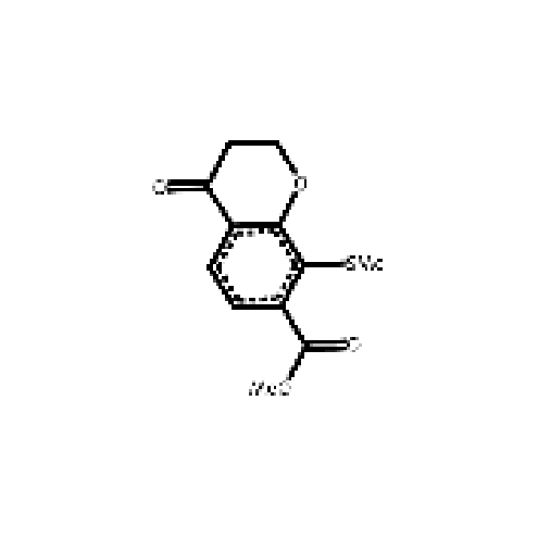 COC(=O)c1ccc2c(c1SC)OCCC2=O